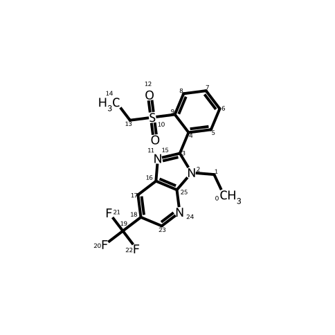 CCn1c(-c2ccccc2S(=O)(=O)CC)nc2cc(C(F)(F)F)cnc21